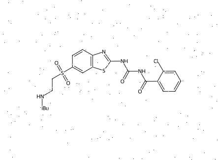 CCC(C)NCCS(=O)(=O)c1ccc2nc(NC(=O)NC(=O)c3ccccc3Cl)sc2c1